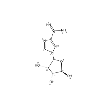 N=C(N)c1ncn(C2O[C@@H](O)[C@H](O)[C@@H]2O)n1